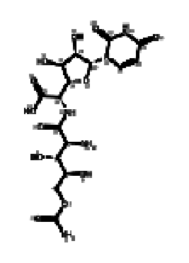 NC(=O)OC[C@H](O)[C@H](O)[C@H](N)C(=O)N[C@H](C(=O)O)[C@H]1O[C@@H](n2ccc(=O)[nH]c2=O)[C@H](O)[C@@H]1O